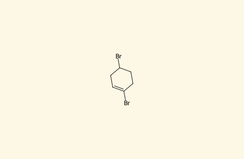 BrC1=CCC(Br)CC1